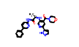 C[C@H](Nc1cnc(-c2ccn[nH]2)cc1C(=O)N1CCOCC1)C(=O)Nc1ccc(-c2ccccc2)cn1